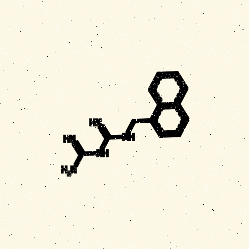 N=C(N)NC(=N)NCc1cccc2ccccc12